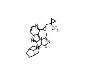 Cc1cc(N2CC3CCC(C2)C3Nc2nc3c(OCC4(C(F)(F)F)CC4)nccn3n2)sn1